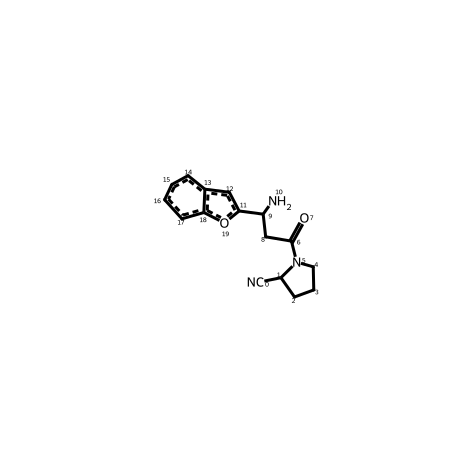 N#CC1CCCN1C(=O)CC(N)c1cc2ccccc2o1